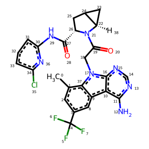 Cc1cc(C(F)(F)F)cc2c3c(N)ncnc3n(CC(=O)N3[C@@H]4CC4C[C@H]3C(=O)Nc3cccc(Cl)n3)c12